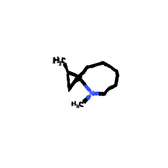 C[C@@H]1CC12CCCCCN2C